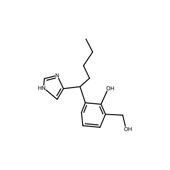 CCCCC(c1c[nH]cn1)c1cccc(CO)c1O